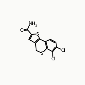 NC(=O)c1cc2c(s1)-c1ccc(Cl)c(Cl)c1SC2